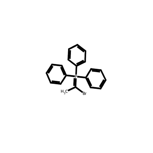 CC(Br)=P(c1ccccc1)(c1ccccc1)c1ccccc1